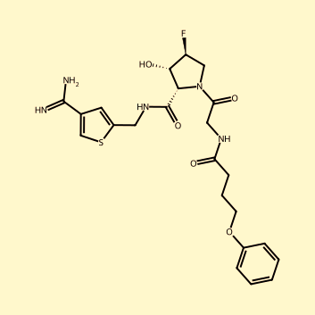 N=C(N)c1csc(CNC(=O)[C@@H]2[C@H](O)[C@@H](F)CN2C(=O)CNC(=O)CCCOc2ccccc2)c1